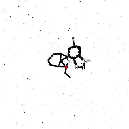 CCOC1(c2cc(F)cc3[nH]nnc23)C2CCCC1CNC2